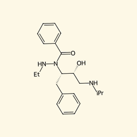 CCNN(C(=O)c1ccccc1)[C@@H](Cc1ccccc1)[C@H](O)CNC(C)C